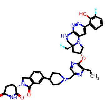 CCc1nc(CN2CCC(c3ccc4c(c3)C(=O)N([C@H]3CCC(=O)NC3=O)C4)CC2)cnc1O[C@H]1CN2c3cc(-c4cccc(F)c4O)nnc3NC[C@@]2(CF)C1